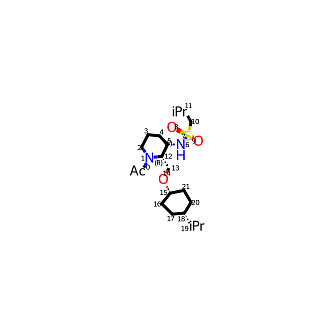 CC(=O)N1CCC[C@H](NS(=O)(=O)CC(C)C)[C@@H]1CO[C@H]1CC[C@@H](C(C)C)CC1